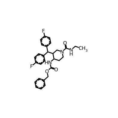 CCNC(=O)N1CCC(NC(=O)OCc2ccccc2)C(C(c2ccc(F)cc2)c2ccc(F)cc2)C1